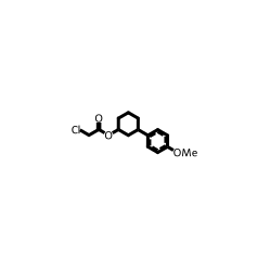 COc1ccc(C2CCCC(OC(=O)CCl)C2)cc1